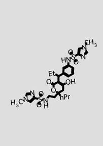 CCCC1(CCNS(=O)(=O)c2cn(C)cn2)CC(O)=C(C(CC)c2cccc(NS(=O)(=O)c3cn(C)cn3)c2)C(=O)O1